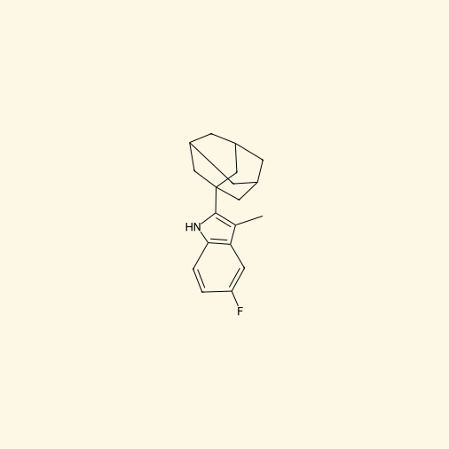 Cc1c(C23CC4CC(CC(C4)C2)C3)[nH]c2ccc(F)cc12